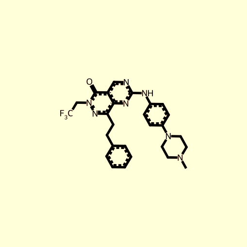 CN1CCN(c2ccc(Nc3ncc4c(=O)n(CC(F)(F)F)nc(CCc5ccccc5)c4n3)cc2)CC1